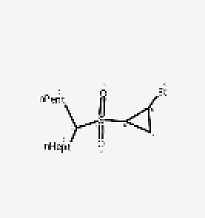 CCCCCCCC(CCCCC)S(=O)(=O)C1CC1CC